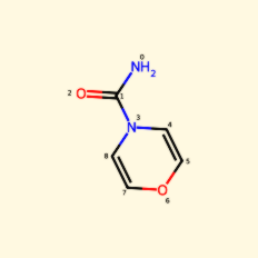 NC(=O)N1C=COC=C1